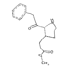 COC(=O)CC1CCNC1C(=O)Cc1ccccc1